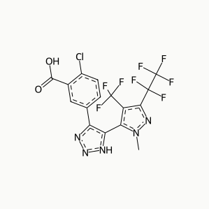 Cn1nc(C(F)(F)C(F)(F)F)c(C(F)(F)F)c1-c1[nH]nnc1-c1ccc(Cl)c(C(=O)O)c1